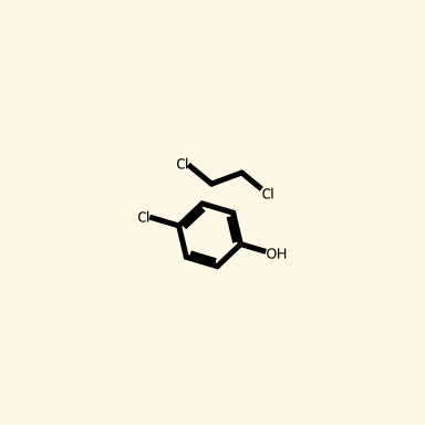 ClCCCl.Oc1ccc(Cl)cc1